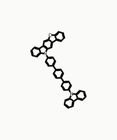 c1ccc2c(c1)oc1cc3c4ccccc4n(-c4ccc(-c5ccc(-c6ccc(-n7c8ccccc8c8ccccc87)cc6)cc5)cc4)c3cc12